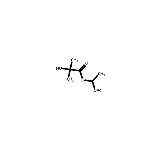 CC(=O)OC(C)OC(=O)C(C)(C)O